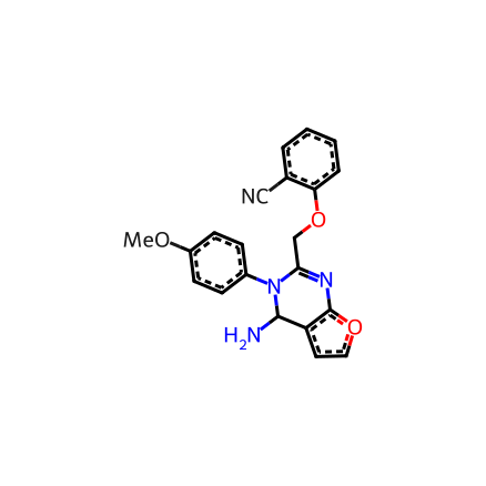 COc1ccc(N2C(COc3ccccc3C#N)=Nc3occc3C2N)cc1